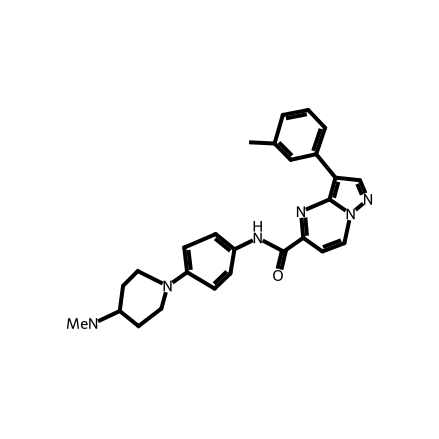 CNC1CCN(c2ccc(NC(=O)c3ccn4ncc(-c5cccc(C)c5)c4n3)cc2)CC1